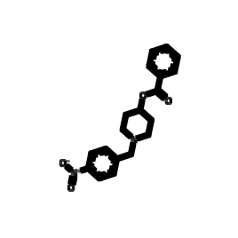 O=C(OC1CCN(Cc2ccc([N+](=O)[O-])cc2)CC1)c1ccccc1